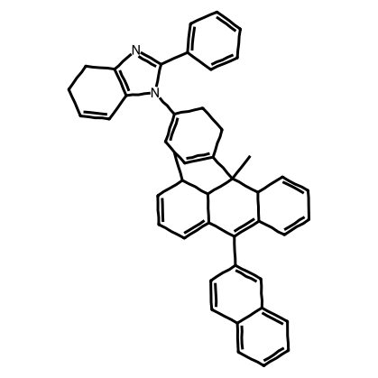 CC1C=CC=C2C(c3ccc4ccccc4c3)=C3C=CC=CC3C(C)(C3=CC=C(n4c(-c5ccccc5)nc5c4C=CCC5)CC3)C21